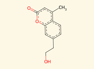 Cc1cc(=O)oc2cc(CCO)ccc12